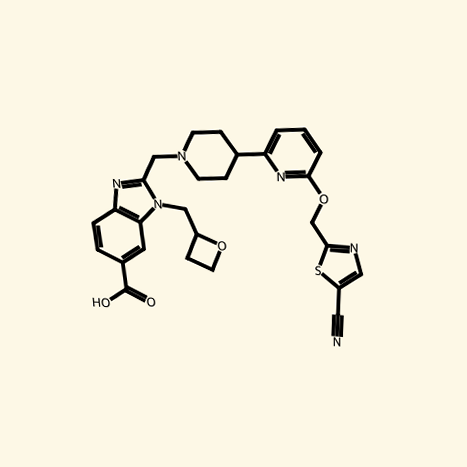 N#Cc1cnc(COc2cccc(C3CCN(Cc4nc5ccc(C(=O)O)cc5n4CC4CCO4)CC3)n2)s1